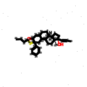 CC#C[C@]1(O)CC[C@H]2[C@@H]3CCC4=CC(=O)C(SCCCC)(c5ccccc5)CC4=C3CC[C@@]21C